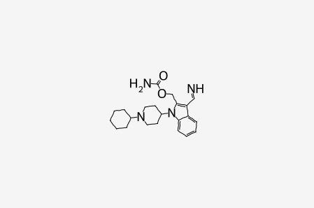 N=Cc1c(COC(N)=O)n(C2CCN(C3CCCCC3)CC2)c2ccccc12